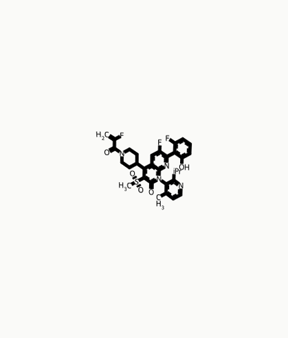 C=C(F)C(=O)N1CCC(c2c(S(C)(=O)=O)c(=O)n(-c3c(C)ccnc3C(C)C)c3nc(-c4c(O)cccc4F)c(F)cc23)CC1